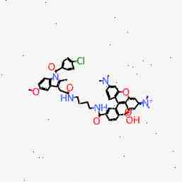 COc1ccc2c(c1)c(CC(=O)NCCCCNC(=O)c1ccc(C(=O)O)c(-c3c4ccc(=[N+](C)C)cc-4oc4cc(N(C)C)ccc34)c1)c(C)n2C(=O)c1ccc(Cl)cc1